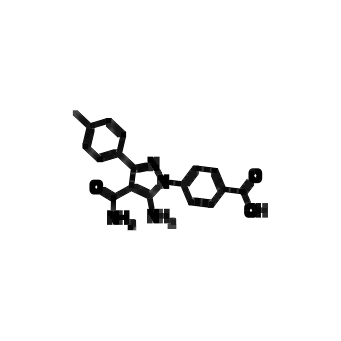 Cc1ccc(-c2nn(-c3ccc(C(=O)O)cc3)c(N)c2C(N)=O)cc1